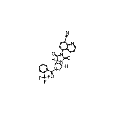 N#Cc1ccc(N2C(=O)[C@@H]3C4C[C@H](CN4C(=O)c4ccccc4C(F)(F)F)N3C2=O)c2cccnc12